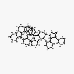 c1ccc(-c2nnc(-c3ccc4c(c3)c3ccccc3n4-c3ccccc3-c3ccccc3-n3c4ccccc4c4ccc5oc6ccccc6c5c43)n2-c2ccccc2)cc1